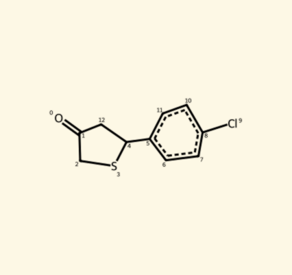 O=C1CSC(c2ccc(Cl)cc2)C1